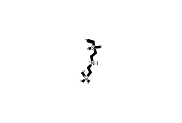 C=C[Si](C)(C)CCNCC[Si](C)(C)C